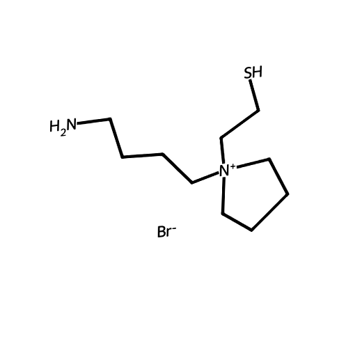 NCCCC[N+]1(CCS)CCCC1.[Br-]